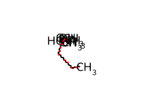 CCCC/C=C\CCCCCCCCC/C=C\CCCCCCC(O)(C[N+](C)(C)C)P(=O)(O)O